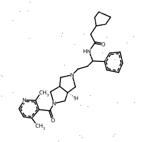 Cc1ccnc(C)c1C(=O)N1CC2CN(CCC(NC(=O)CC3CCCC3)c3ccccc3)C[C@H]2C1